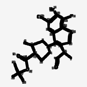 CC1CN(c2c(N(C)C=O)cnc3c(F)c(Br)c(Cl)cc23)CCN1C(=O)OC(C)(C)C